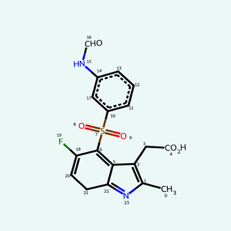 CC1=C(CC(=O)O)C2=C(S(=O)(=O)c3cccc(NC=O)c3)C(F)=CCC2=N1